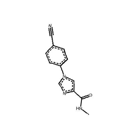 CNC(=O)c1cn(-c2ccc(C#N)cc2)cn1